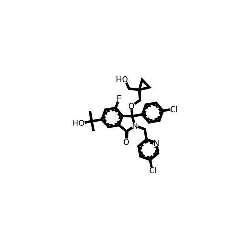 CC(C)(O)c1cc(F)c2c(c1)C(=O)N(Cc1ccc(Cl)cn1)C2(OCC1(CO)CC1)c1ccc(Cl)cc1